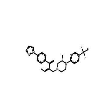 C=C(/C(=C\C)CN1CCN(c2ccc(C(F)(F)F)cn2)[C@H](C)C1)c1ccc(-n2cccn2)cc1